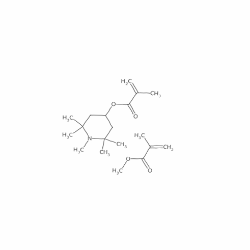 C=C(C)C(=O)OC.C=C(C)C(=O)OC1CC(C)(C)N(C)C(C)(C)C1